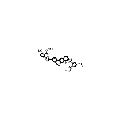 C[C@H]1C[C@@H](c2nc3c([nH]2)-c2cc4c(cc2CC3)-c2ccc(-c3cnc([C@@H]5CC[C@H](C)N5C(=O)OC(C)(C)C)[nH]3)cc2CO4)N(C(=O)OC(C)(C)C)C1